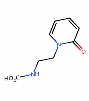 O=C(O)NCCn1ccccc1=O